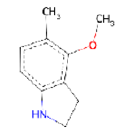 COc1c(C)ccc2c1CCN2